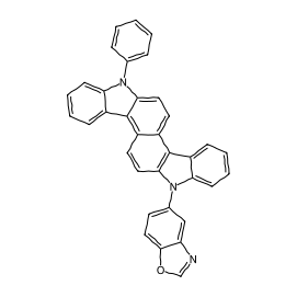 c1ccc(-n2c3ccccc3c3c4ccc5c(c4ccc32)c2ccccc2n5-c2ccc3ocnc3c2)cc1